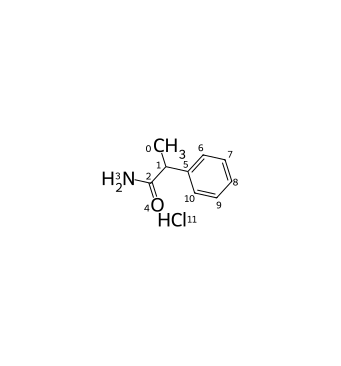 CC(C(N)=O)c1ccccc1.Cl